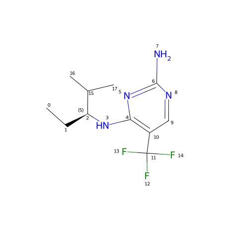 CC[C@H](Nc1nc(N)ncc1C(F)(F)F)C(C)C